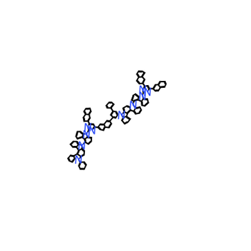 c1ccc(-c2cc(-c3ccc4ccc(-c5cc(-c6ccc7ccccc7c6)nc(-n6c7ccccc7c7c(-n8c9ccccc9c9c%10c%11ccccc%11n(-c%11ccccc%11)c%10ccc98)cccc76)n5)cc4c3)cc(-n3c4ccccc4c4c5c6ccccc6n(-c6cccc7c6c6ccccc6n7-c6nc(-c7ccc8ccccc8c7)cc(-c7ccc8ccccc8c7)n6)c5ccc43)c2)cc1